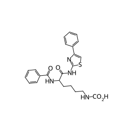 O=C(O)NCCCCC(NC(=O)c1ccccc1)C(=O)Nc1nc(-c2ccccc2)cs1